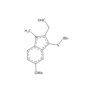 COc1ccc2c(c1)c(SC(C)(C)C)c(CC=O)n2C